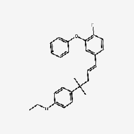 CCOc1ccc(C(C)(C)CC=Cc2ccc(F)c(Oc3ccccc3)c2)cc1